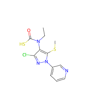 CCN(C(=O)S)c1c(Cl)nn(-c2cccnc2)c1SC